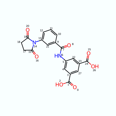 O=C(O)c1cc(NC(=O)c2cccc(N3C(=O)CCC3=O)c2)cc(C(=O)O)c1